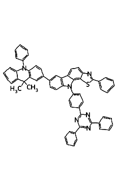 CC1(C)c2ccccc2N(c2ccccc2)c2ccc(-c3ccc4c(c3)c3ccc5nc(-c6ccccc6)sc5c3n4-c3ccc(-c4nc(-c5ccccc5)nc(-c5ccccc5)n4)cc3)cc21